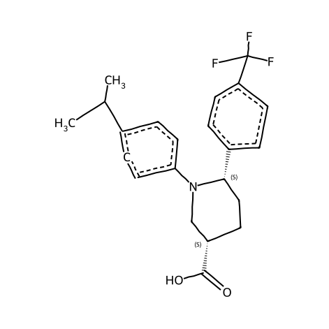 CC(C)c1ccc(N2C[C@@H](C(=O)O)CC[C@H]2c2ccc(C(F)(F)F)cc2)cc1